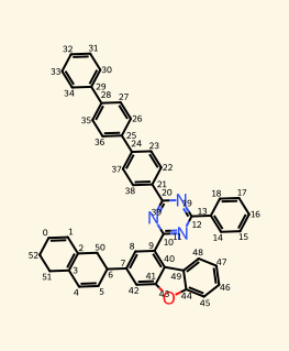 C1=CC2=C(C=CC(c3cc(-c4nc(-c5ccccc5)nc(-c5ccc(-c6ccc(-c7ccccc7)cc6)cc5)n4)c4c(c3)oc3ccccc34)C2)CC1